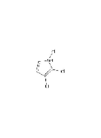 ClC1=C(Cl)[SiH](Cl)C=C1